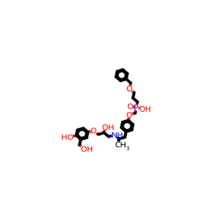 CC(Cc1ccc(OCP(=O)(O)CCCOCc2ccccc2)cc1)NCC(O)COc1ccc(O)c(CO)c1